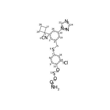 N#CC1(c2cc(CSc3ccc(OSOON)c(Cl)c3)cc(-n3cncn3)c2)CCC1